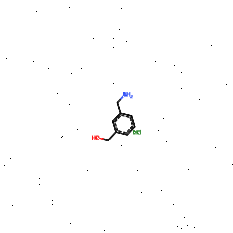 Cl.NCc1cccc(CO)c1